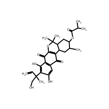 C=CC(C)(CO)c1c(O)cc2c(c1O)C(=O)C1=C(C2=O)C2CC(C)C(OC(=O)C(C)C)CC2C(C)(C)O1